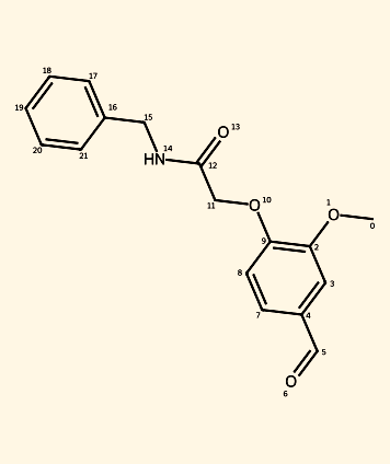 COc1cc(C=O)ccc1OCC(=O)NCc1ccccc1